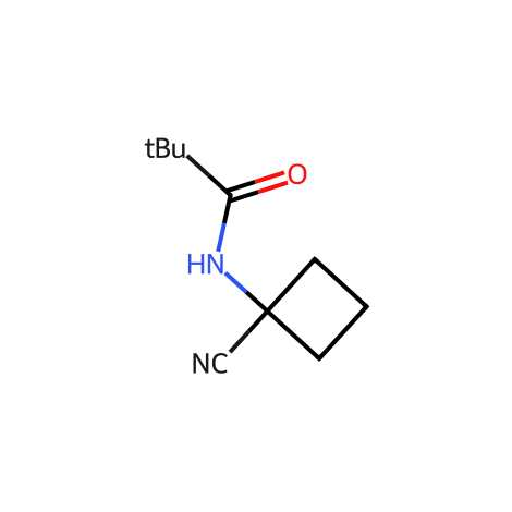 CC(C)(C)C(=O)NC1(C#N)CCC1